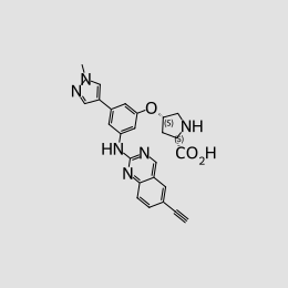 C#Cc1ccc2nc(Nc3cc(O[C@@H]4CN[C@H](C(=O)O)C4)cc(-c4cnn(C)c4)c3)ncc2c1